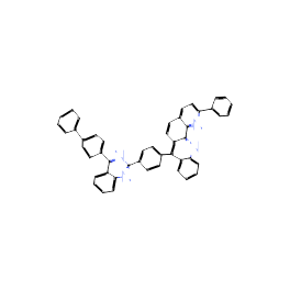 c1ccc(-c2ccc(-c3nc(-c4ccc(-c5c6ccccc6nc6c5ccc5ccc(-c7ccccc7)nc56)cc4)nc4ccccc34)cc2)cc1